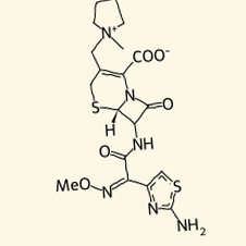 CO/N=C(\C(=O)NC1C(=O)N2C(C(=O)[O-])=C(C[N+]3(C)CCCC3)CS[C@@H]12)c1csc(N)n1